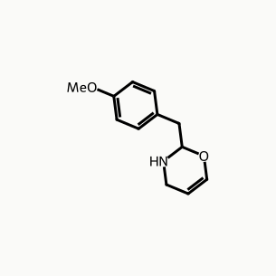 COc1ccc(CC2NCC=CO2)cc1